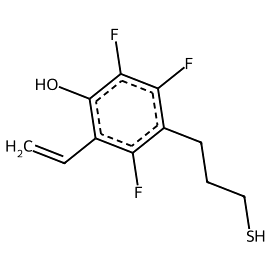 C=Cc1c(O)c(F)c(F)c(CCCS)c1F